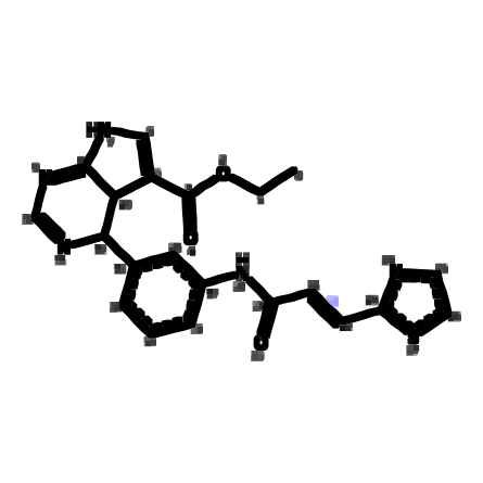 CCOC(=O)C1=CNC2=NC=NC(c3cccc(NC(=O)/C=C/c4nccs4)c3)C12